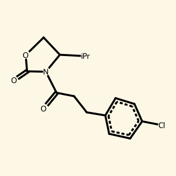 CC(C)C1COC(=O)N1C(=O)CCc1ccc(Cl)cc1